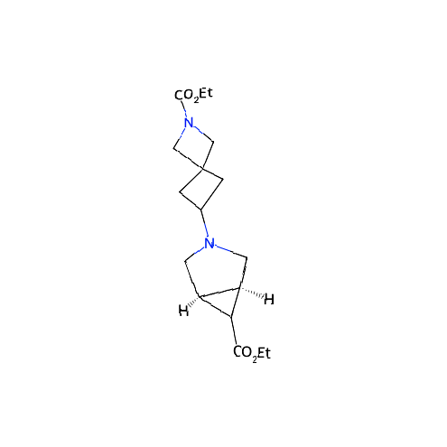 CCOC(=O)C1[C@H]2CN(C3CC4(C3)CN(C(=O)OCC)C4)C[C@@H]12